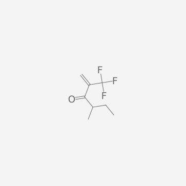 C=C(C(=O)C(C)CC)C(F)(F)F